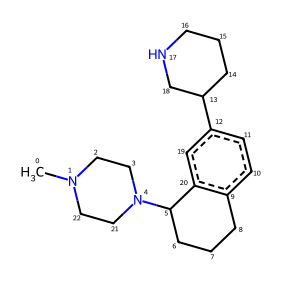 CN1CCN(C2CCCc3ccc(C4CCCNC4)cc32)CC1